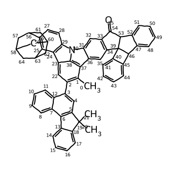 Cc1c(-c2cc3c(c4ccccc24)-c2ccccc2C3(C)C)cc2c3c4c(ccc3n3c5cc6c(cc5c1c23)C12c3ccccc3C1c1ccccc1C2C6=O)C1CC2CC(C1)CC4C2